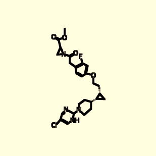 COC(=O)C1CN1C(=O)Cc1ccc(OCC[C@@H]2C[C@@H]2C2CCN(C3N=CC(Cl)=CN3)CC2)cc1F